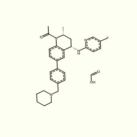 CC(=O)N1c2ccc(-c3ccc(CN4CCCCC4)cc3)cc2[C@@H](Nc2ccc(F)cn2)C[C@H]1C.O=CO